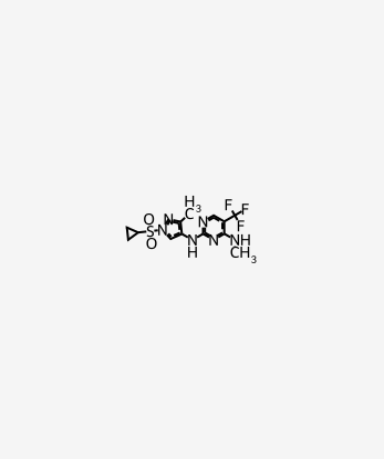 CNc1nc(Nc2cn(S(=O)(=O)C3CC3)nc2C)ncc1C(F)(F)F